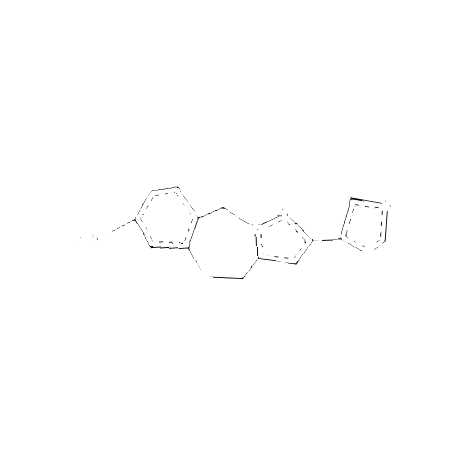 CC(=O)Nc1ccc2c(c1)OCc1cc(-c3cnco3)nn1C2